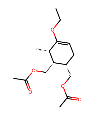 CCOC1=CC[C@H](COC(C)=O)[C@H](COC(C)=O)[C@@H]1C